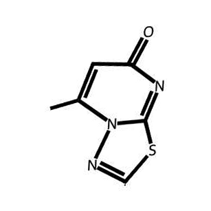 Cc1cc(=O)nc2s[c]nn12